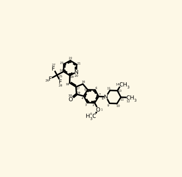 COc1cc2c(cc1N1CCC(C)C(C)C1)C/C(=C\c1ncccc1C(F)(F)F)C2=O